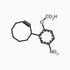 O=C(O)Oc1ccc([N+](=O)[O-])cc1C1C#CCCCCC1